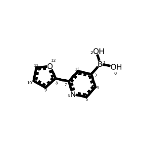 OB(O)c1ccnc(-c2ccco2)c1